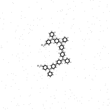 Cc1ccc(N(c2ccccc2)c2ccc(-c3ccc(N(c4ccccc4)c4ccc(-c5ccc(N(c6ccccc6)c6ccc(N(c7ccccc7)c7ccc(C)cc7)cc6)cc5)cc4)cc3)cc2)cc1